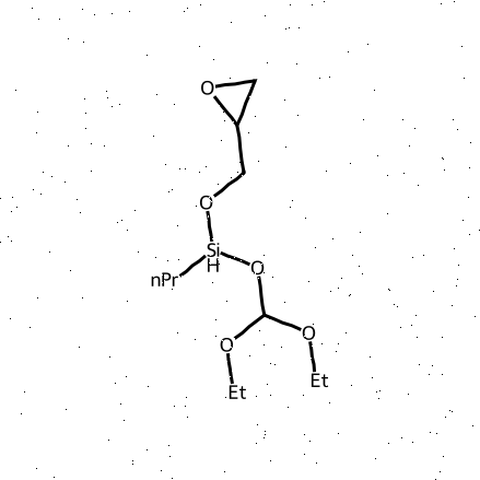 CCC[SiH](OCC1CO1)OC(OCC)OCC